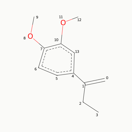 C=C(CC)c1ccc(OC)c(OC)c1